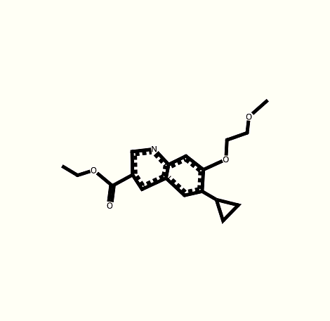 CCOC(=O)c1cnc2cc(OCCOC)c(C3CC3)cc2c1